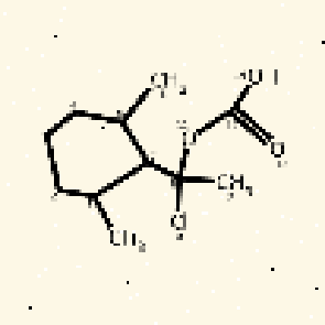 CC1CCCC(C)C1C(C)(Cl)OC(=O)O